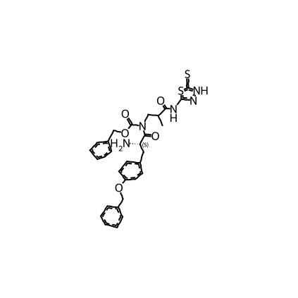 CC(CN(C(=O)OCc1ccccc1)C(=O)[C@@H](N)Cc1ccc(OCc2ccccc2)cc1)C(=O)Nc1n[nH]c(=S)s1